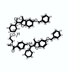 Cc1c(C(Nc2ccc(C(=O)N(C)CCC(=O)O)cc2)C2CCCCC2)oc2ccc(OCc3ccccc3)cc12.Cc1c(C(O)C2CCCCC2)oc2ccc(OCc3ccccc3)cc12